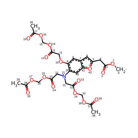 [CH2]OC(=O)Cc1cc2cc(OCC(=O)OCOC(C)=O)c(N(CC(=O)OCOC(C)=O)CC(=O)OCOC(C)=O)cc2o1